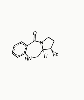 CC[C@@H]1CCN2C(=O)c3ccccc3NC[C@H]12